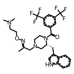 CC(CN1CCN(C(=O)c2cc(C(F)(F)F)cc(C(F)(F)F)c2)[C@H](Cc2c[nH]c3ccccc23)C1)=NOCCN(C)C